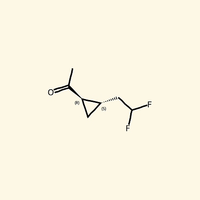 CC(=O)[C@@H]1C[C@H]1CC(F)F